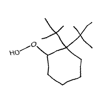 CC(C)(C)C1(C(C)(C)C)CCCCC1OO